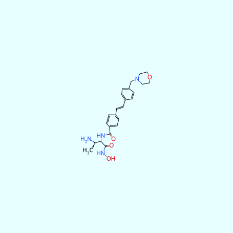 C[C@@H](N)[C@H](NC(=O)c1ccc(/C=C/c2ccc(CN3CCOCC3)cc2)cc1)C(=O)NO